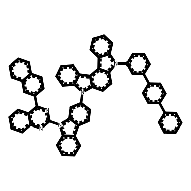 c1ccc(-c2ccc(-c3cccc(-n4c5ccccc5c5c6c7ccccc7n(-c7ccc8c9ccccc9n(-c9nc(-c%10ccc%11ccccc%11c%10)c%10ccccc%10n9)c8c7)c6ccc54)c3)cc2)cc1